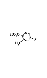 CCOC(=O)c1ccc(Br)cc1C